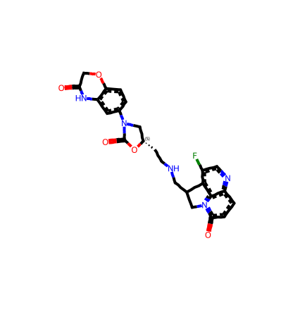 O=C1COc2ccc(N3C[C@H](CCNCC4Cn5c(=O)ccc6ncc(F)c4c65)OC3=O)cc2N1